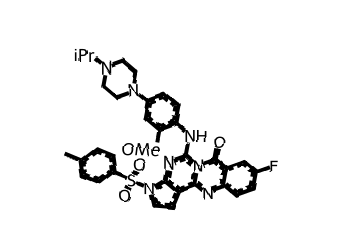 COc1cc(N2CCN(C(C)C)CC2)ccc1Nc1nc2c(ccn2S(=O)(=O)c2ccc(C)cc2)c2nc3ccc(F)cc3c(=O)n12